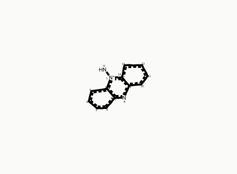 [NH][n+]1c2ccccc2nc2ccccc21